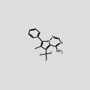 Cc1c(C(F)(F)F)c2c(N)ncnn2c1-c1ccccc1